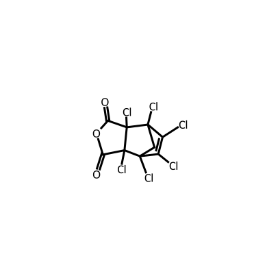 O=C1OC(=O)C2(Cl)C3(Cl)CC(Cl)(C(Cl)=C3Cl)C12Cl